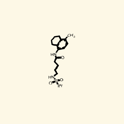 Cc1ccc(NC(=O)CCCCNS(=O)(=O)C(C)C)c2c1CCCC2